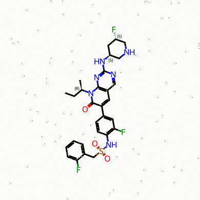 CC[C@@H](C)n1c(=O)c(-c2ccc(NS(=O)(=O)Cc3ccccc3F)c(F)c2)cc2cnc(N[C@@H]3CNC[C@@H](F)C3)nc21